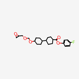 O=C(Oc1ccc(F)cc1)C1CCC(C2CCC(OCOCC3CO3)CC2)CC1